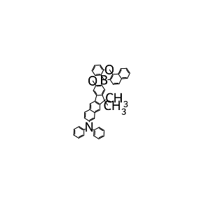 CC1(C)c2cc3c(cc2-c2cc4ccc(N(c5ccccc5)c5ccccc5)cc4cc21)Oc1cccc2c1B3c1ccc3ccccc3c1O2